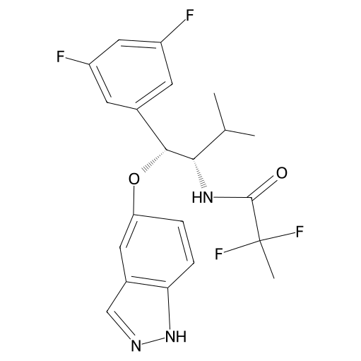 CC(C)[C@H](NC(=O)C(C)(F)F)[C@H](Oc1ccc2[nH]ncc2c1)c1cc(F)cc(F)c1